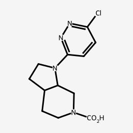 O=C(O)N1CCC2CCN(c3ccc(Cl)nn3)C2C1